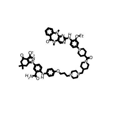 CCOc1cc(N2CCC(C(=O)N3CCC(CN4CCN(CCCOc5ccc(Nc6ccc(-n7nc(C(F)(F)F)c8c7CC(C)(C)CC8=O)cc6C(N)=O)cc5)CC4)CC3)CC2)ccc1Nc1ncc2c(n1)N(C)c1ccccc1C(=O)N2C